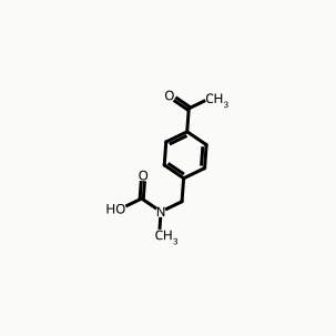 CC(=O)c1ccc(CN(C)C(=O)O)cc1